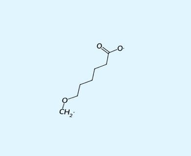 [CH2]OCCCCCC([O])=O